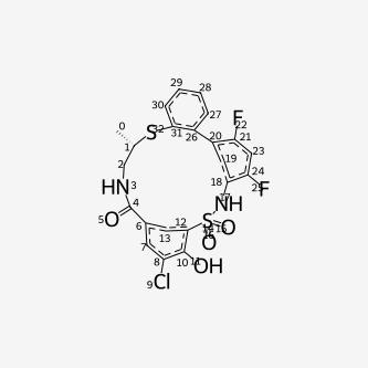 C[C@H]1CNC(=O)c2cc(Cl)c(O)c(c2)S(=O)(=O)Nc2cc(c(F)cc2F)-c2ccccc2S1